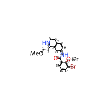 COCCC1NCCc2ccc(NC(=O)c3cccc(Br)c3OC(C)C)cc21